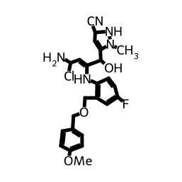 COc1ccc(COCc2cc(F)ccc2N/C(=C\C(N)Cl)C(O)C2=CC(C#N)NN2C)cc1